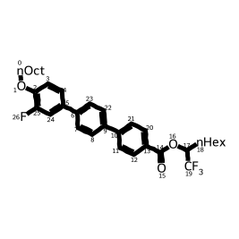 CCCCCCCCOc1ccc(-c2ccc(-c3ccc(C(=O)OC(CCCCCC)C(F)(F)F)cc3)cc2)cc1F